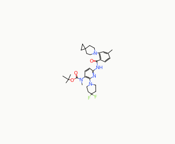 Cc1ccc(C(=O)Nc2ccc(N(C)C(=O)OC(C)(C)C)c(N3CCC(F)(F)CC3)n2)c(N2CCC3(CC2)CC3)c1